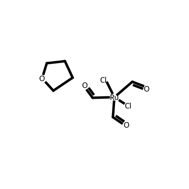 C1CCOC1.O=[CH][Ru]([Cl])([Cl])([CH]=O)[CH]=O